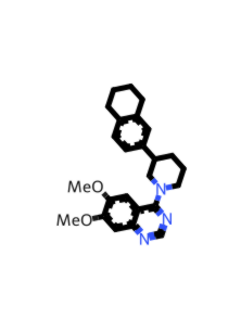 COc1cc2ncnc(N3CCCC(c4ccc5c(c4)CCCC5)C3)c2cc1OC